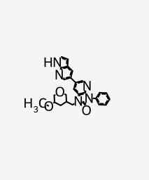 COC1COCC(Cn2c(=O)n(-c3ccccc3)c3ncc(-c4cnc5[nH]ccc5c4)cc32)C1